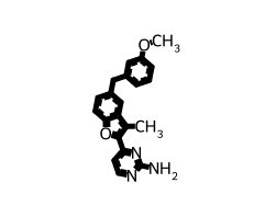 COc1cccc(Cc2ccc3oc(-c4ccnc(N)n4)c(C)c3c2)c1